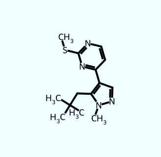 CSc1nccc(-c2cnn(C)c2CC(C)(C)C)n1